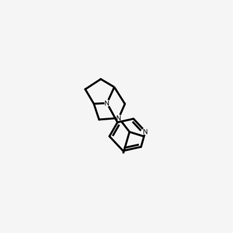 CC(C)N1CC2CCC(C1)N2c1cccnc1